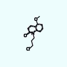 COc1cccc2c1ccc(=O)n2CCCCl